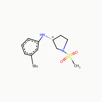 CC(C)(C)c1cccc(N[C@@H]2CCN(S(C)(=O)=O)C2)c1